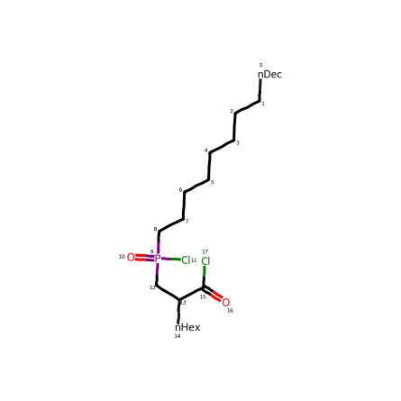 CCCCCCCCCCCCCCCCCCP(=O)(Cl)CC(CCCCCC)C(=O)Cl